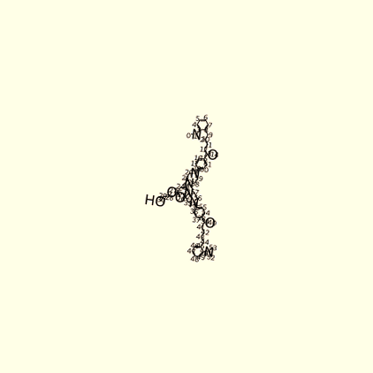 CN(C)c1ccccc1CCCCC(=O)c1ccc(N2CCN(C(CC(=O)OCCO)N3CCN(c4ccc(C(=O)CCCCc5ccccc5N(C)C)cc4)CC3)CC2)cc1